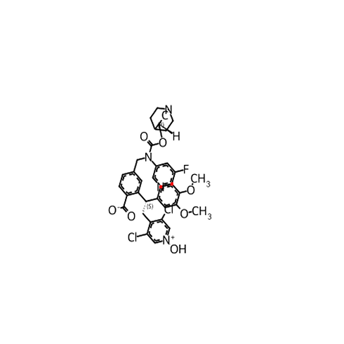 COc1ccc([C@H](Cc2c(Cl)c[n+](O)cc2Cl)c2cc(CN(C(=O)O[C@H]3CN4CCC3CC4)c3cncc(F)c3)ccc2C(=O)[O-])cc1OC